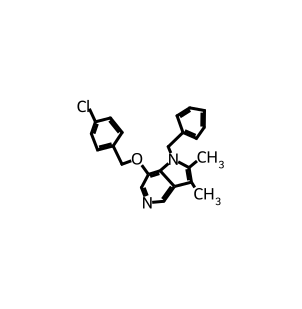 Cc1c(C)n(Cc2ccccc2)c2c(OCc3ccc(Cl)cc3)cncc12